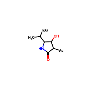 CCCCC(C)C1NC(=O)C(C(C)=O)C1O